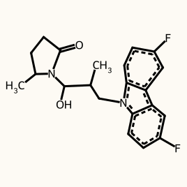 CC(Cn1c2ccc(F)cc2c2cc(F)ccc21)C(O)N1C(=O)CCC1C